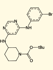 CC(C)(C)OC(=O)N1CCCC(Nc2cc(Nc3cccc(Br)c3)ncn2)C1